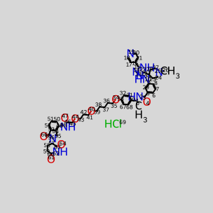 C[C@@H](NC(=O)c1cccc(NC2(c3nnc(-c4ccncc4)[nH]3)CCN(C)CC2)c1)c1ccc(OCCCCCOCCCOCC(=O)Nc2cccc3c2CN(C2CCC(=O)NC2=O)C3=O)cc1.Cl